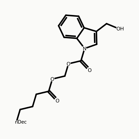 CCCCCCCCCCCCCC(=O)OCOC(=O)n1cc(CO)c2ccccc21